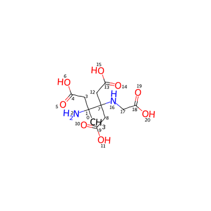 CC(N)(CC(=O)O)C(CC(=O)O)(CC(=O)O)NCC(=O)O